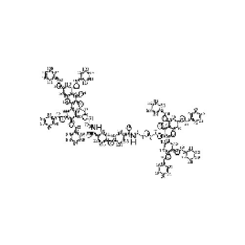 O=C(NCCOCCOc1c(-c2ccc(OCc3ccccc3)c(OCc3ccccc3)c2)oc2cc(OCc3ccccc3)cc(OCc3ccccc3)c2c1=O)c1ccc(Oc2ccc(C(=O)NCCOCCOc3c(-c4ccc(OCc5ccccc5)c(OCc5ccccc5)c4)oc4cc(OCc5ccccc5)cc(OCc5ccccc5)c4c3=O)cc2)cc1